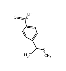 [CH2]SC(C)c1ccc([N+](=O)[O-])cc1